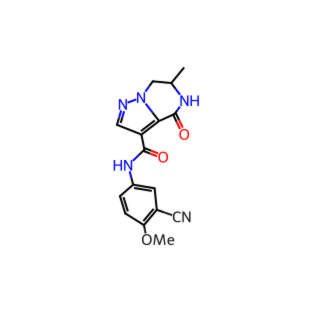 COc1ccc(NC(=O)c2cnn3c2C(=O)NC(C)C3)cc1C#N